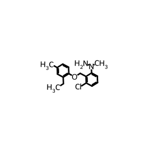 CCc1cc(C)ccc1OCc1c(Cl)cccc1N(C)N